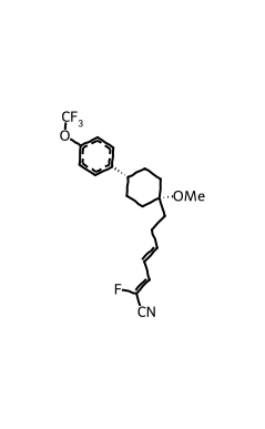 CO[C@]1(CCC=CC=C(F)C#N)CC[C@H](c2ccc(OC(F)(F)F)cc2)CC1